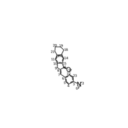 CN(C)c1ccc(/C=C2/Cc3cc4c(cc3C2=O)CCCC4)cc1